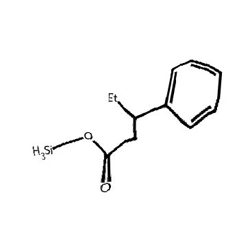 CCC(CC(=O)O[SiH3])c1ccccc1